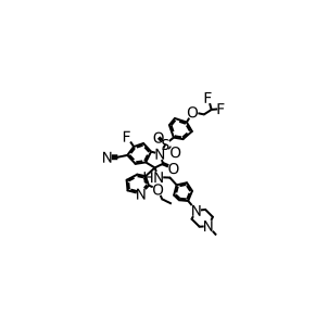 CCOc1ncccc1C1(NCc2ccc(N3CCN(C)CC3)cc2)C(=O)N(S(=O)(=O)c2ccc(OCC(F)F)cc2)c2cc(F)c(C#N)cc21